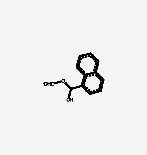 O=[C]OC(O)c1cccc2ccccc12